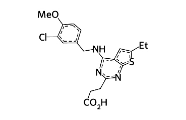 CCc1cc2c(NCc3ccc(OC)c(Cl)c3)nc(CCC(=O)O)nc2s1